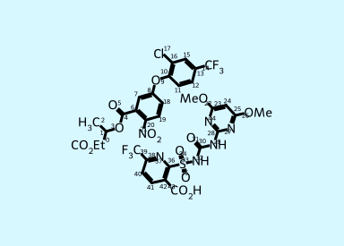 CCOC(=O)C(C)OC(=O)c1cc(Oc2ccc(C(F)(F)F)cc2Cl)ccc1[N+](=O)[O-].COc1cc(OC)nc(NC(=O)NS(=O)(=O)c2nc(C(F)(F)F)ccc2C(=O)O)n1